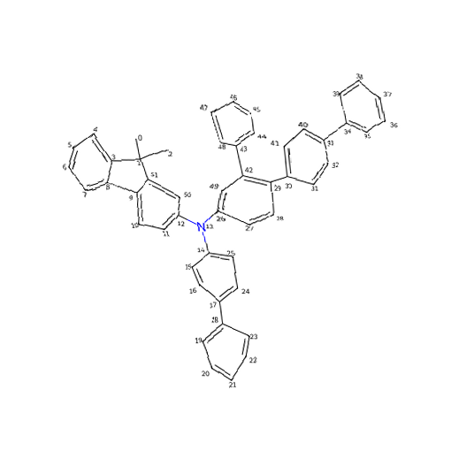 CC1(C)c2ccccc2-c2ccc(N(c3ccc(-c4ccccc4)cc3)c3ccc(-c4ccc(-c5ccccc5)cc4)c(-c4ccccc4)c3)cc21